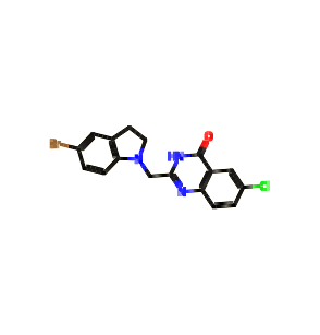 O=c1[nH]c(CN2CCc3cc(Br)ccc32)nc2ccc(Cl)cc12